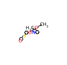 CCCCOc1c(C)c(COc2cccc(SCC3CCOCC3)c2)nc2ccccc12